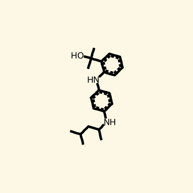 CC(C)CC(C)Nc1ccc(Nc2ccccc2C(C)(C)O)cc1